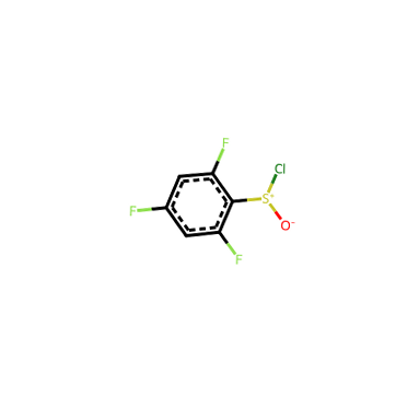 [O-][S+](Cl)c1c(F)cc(F)cc1F